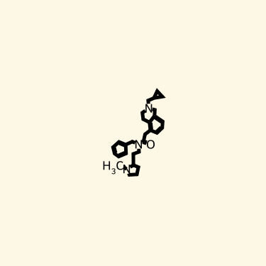 CN1CCCC1CCN(Cc1ccccc1)C(=O)Cc1cccc2c1CCN(CC1CC1)C2